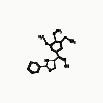 COc1cc(C(=NO)C2COC(c3ccccc3)N2)cc(OC)c1OC